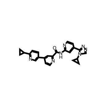 O=C(Nc1cc(-c2nncn2C2CC2)ccn1)c1cc(-c2ccc(C3CC3)nc2)ccn1